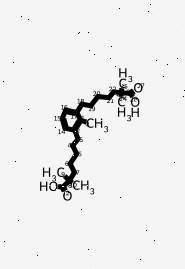 Cc1c(CCCCCC(C)(C)C(=O)O)cccc1CCCCCC(C)(C)C(=O)O